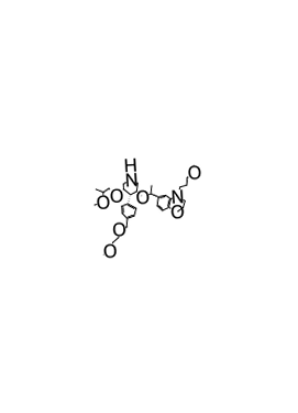 COCCCN1CCOc2ccc(C(C)O[C@H]3CNC[C@@H](OCC(C)OC)[C@H]3c3ccc(COCCOC)cc3)cc21